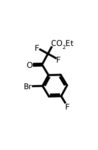 CCOC(=O)C(F)(F)C(=O)c1ccc(F)cc1Br